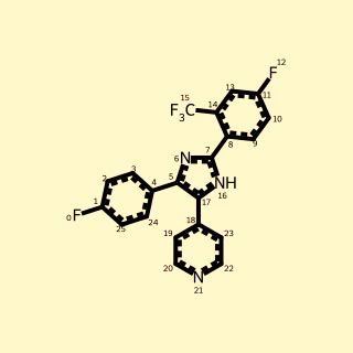 Fc1ccc(-c2nc(-c3ccc(F)cc3C(F)(F)F)[nH]c2-c2ccncc2)cc1